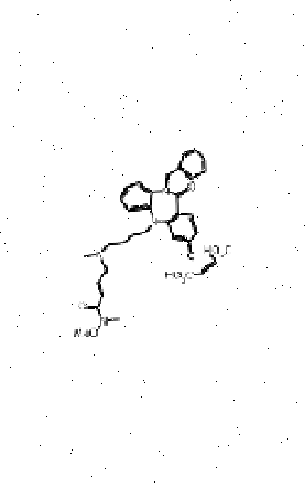 CON(C)C(=O)/C=C/CN(C)CCCCN1c2cc(Cl)ccc2C(=O)N(Cc2ccccc2)c2ccccc21.O=C(O)/C=C\C(=O)O